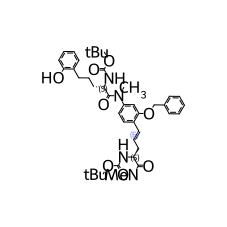 CNC(=O)[C@H](C/C=C/c1ccc(N(C)C(=O)[C@H](CCCc2ccccc2O)NC(=O)OC(C)(C)C)cc1OCc1ccccc1)NC(=O)OC(C)(C)C